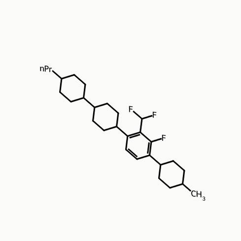 CCCC1CCC(C2CCC(c3ccc(C4CCC(C)CC4)c(F)c3C(F)F)CC2)CC1